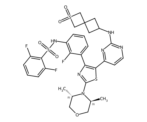 C[C@H]1COC[C@H](C)N1c1nc(-c2cccc(NS(=O)(=O)c3c(F)cccc3F)c2F)c(-c2ccnc(NC3CC4(C3)CS(=O)(=O)C4)n2)s1